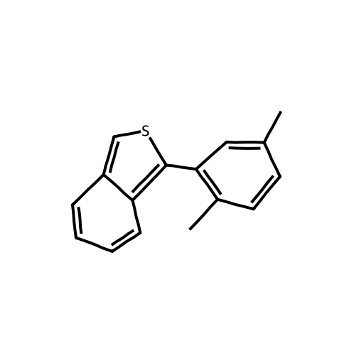 Cc1ccc(C)c(-c2scc3ccccc23)c1